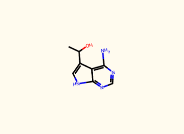 CC(O)c1c[nH]c2ncnc(N)c12